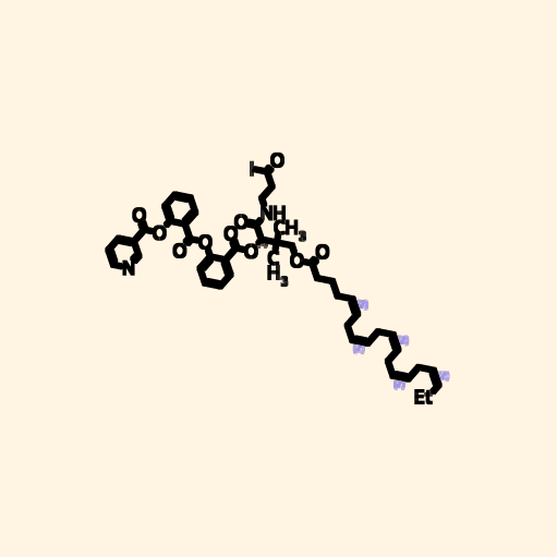 CC/C=C\C/C=C\C/C=C\C/C=C\C/C=C\CCCC(=O)OCC(C)(C)[C@@H](OC(=O)c1ccccc1OC(=O)c1ccccc1OC(=O)c1cccnc1)C(=O)NCCC(=O)I